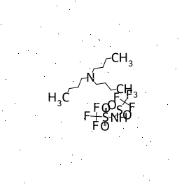 CCCCN(CCCC)CCCC.O=S(=O)(NS(=O)(=O)C(F)(F)F)C(F)(F)F